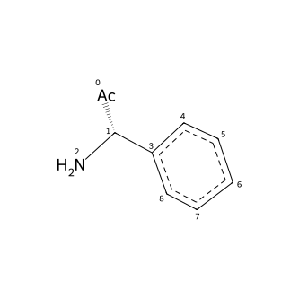 CC(=O)[C@@H](N)c1ccccc1